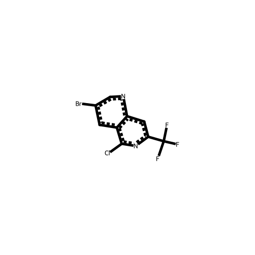 FC(F)(F)c1cc2ncc(Br)cc2c(Cl)n1